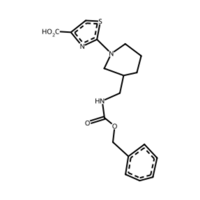 O=C(NCC1CCCN(c2nc(C(=O)O)cs2)C1)OCc1ccccc1